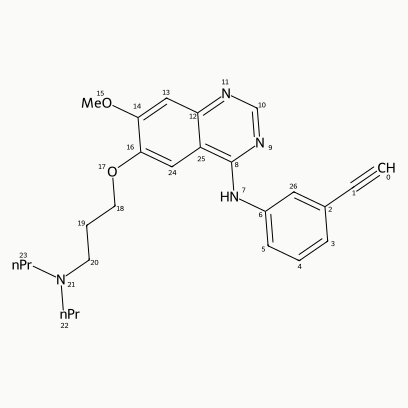 C#Cc1cccc(Nc2ncnc3cc(OC)c(OCCCN(CCC)CCC)cc23)c1